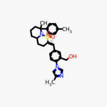 Cc1ccc(C2(C)CCCC3CC/C(=C\c4ccc(-n5cnc(C)c5)c(CO)c4)S(=O)(=O)N32)cc1